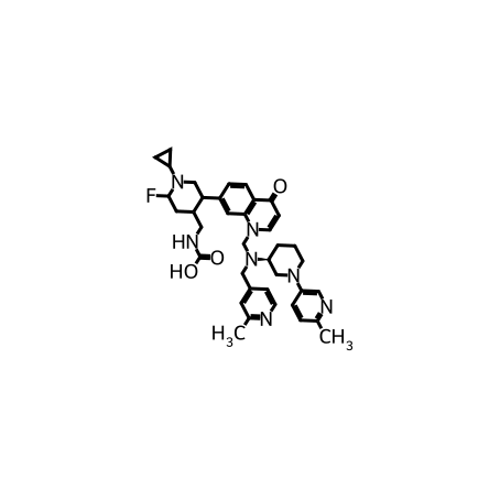 Cc1ccc(N2CCC[C@H](N(Cc3ccnc(C)c3)Cn3ccc(=O)c4ccc(C5CN(C6CC6)C(F)CC5CNC(=O)O)cc43)C2)cn1